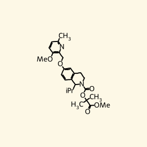 COC(=O)C(C)(C)OC(=O)N1CCc2cc(OCc3nc(C)ccc3OC)ccc2C1C(C)C